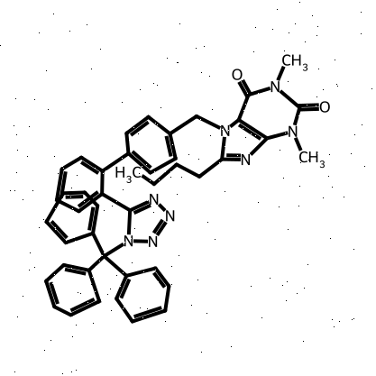 CCCCc1nc2c(c(=O)n(C)c(=O)n2C)n1Cc1ccc(-c2ccccc2-c2nnnn2C(c2ccccc2)(c2ccccc2)c2ccccc2)cc1